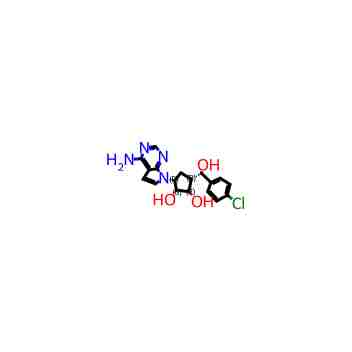 Nc1ncnc2c1ccn2[C@@H]1C[C@H](C(O)c2ccc(Cl)cc2)[C@@H](O)[C@H]1O